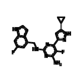 Nc1nc(NCc2cc(F)cc3[nH]ccc23)nc(-c2cc(C3CC3)[nH]n2)c1F